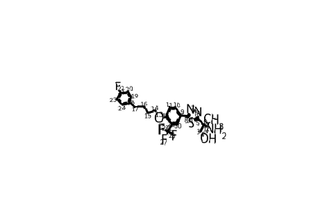 CC(N)(CO)c1nnc(-c2ccc(OCCCCc3ccc(F)cc3)c(C(F)(F)F)c2)s1